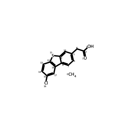 C.O=C(O)Cc1ccc2c(c1)sc1ccc(Cl)cc12